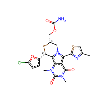 Cc1csc(-c2c3c(=O)n(C)c(=O)n(C)c3c3n2C[C@@H](COC(N)=O)S[C@H]3c2ccc(Cl)o2)n1